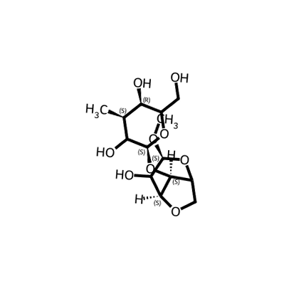 CO[C@H]1OC2CO[C@@H](C1O)[C@H]2O[C@@H]1OC(CO)[C@H](O)[C@H](C)C1O